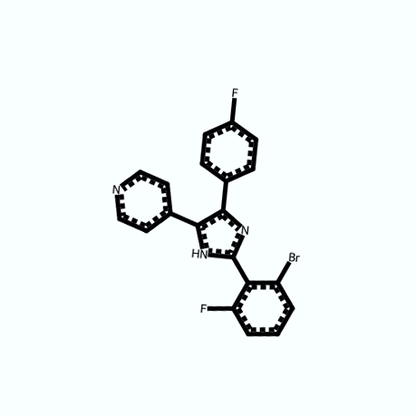 Fc1ccc(-c2nc(-c3c(F)cccc3Br)[nH]c2-c2ccncc2)cc1